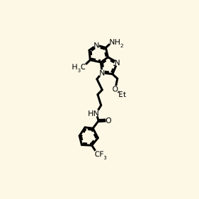 CCOCc1nc2c(N)ncc(C)c2n1CCCCNC(=O)c1cccc(C(F)(F)F)c1